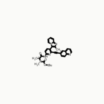 Cc1nc2ccccn2c1-c1ccc(NC(=O)[C@H](C)N(C)C(=O)OC(C)(C)C)nc1C#Cc1ccc2ncccc2c1